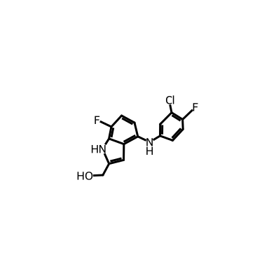 OCc1cc2c(Nc3ccc(F)c(Cl)c3)ccc(F)c2[nH]1